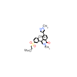 COCCS(=O)(=O)c1ccc(OC)c(-c2cn(C)c(=O)c3ccc(-c4cnn(C)c4)cc23)c1